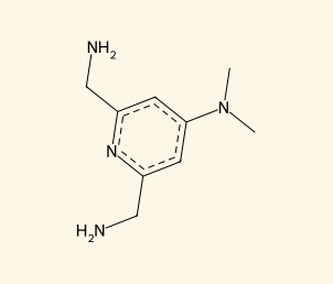 CN(C)c1cc(CN)nc(CN)c1